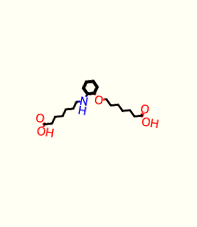 O=C(O)CCCCCCNc1ccccc1OCCCCCCC(=O)O